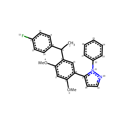 COc1cc(OC)c(C(C)c2ccc(F)cc2)cc1-c1ccnn1-c1ccccc1